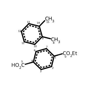 CCOC(=O)c1ccc(C(=O)O)cc1.Cc1ccccc1C